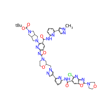 Cn1cc(-c2cccc(NC(=O)c3cc4oc(N5CCOC(Cn6cc(-c7cccc(NC(=O)c8cc9oc(N%10CCOCC%10)nc9nc8Cl)n7)cn6)C5)nc4nc3N3CC4CN(C(=O)OC(C)(C)C)CC4C3)n2)cn1